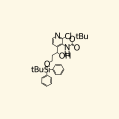 CC(C)(C)OC(=O)Nc1c(C(O)CCO[Si](c2ccccc2)(c2ccccc2)C(C)(C)C)ccnc1Cl